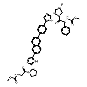 COC(=O)NCC(=O)N1CCC[C@H]1c1ncc(-c2ccc3cc(-c4ccc(-c5cnc([C@@H]6C[C@H](F)CN6C(=O)[C@H](NC(=O)OC)c6ccccc6)[nH]5)cc4)ccc3c2)[nH]1